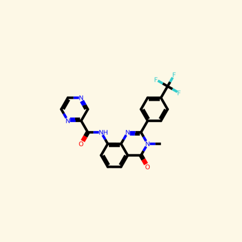 Cn1c(-c2ccc(C(F)(F)F)cc2)nc2c(NC(=O)c3cnccn3)cccc2c1=O